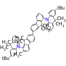 Cc1ccc2c(c1N1c3ccccc3C(C)(C)c3cc(C(C)(C)C)ccc31)C(C)(C)c1cc(-c3ccc4c(c3)C(C)(C)c3c-4cccc3N3c4ccccc4C(C)(C)c4cc(C(C)(C)C)ccc43)ccc1-2